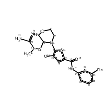 CN(SC1COCCN1c1sc(C(=O)Nc2cccc(Cl)n2)cc1Cl)C(=N)N